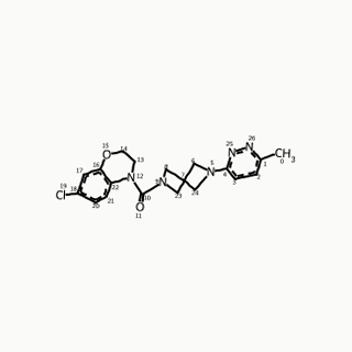 Cc1ccc(N2CC3(CN(C(=O)N4CCOc5cc(Cl)ccc54)C3)C2)nn1